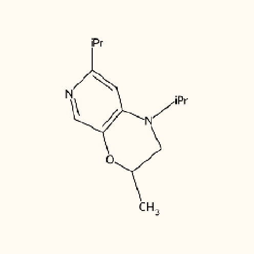 CC1CN(C(C)C)c2cc(C(C)C)ncc2O1